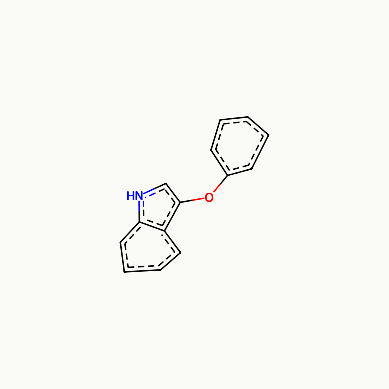 c1ccc(Oc2c[nH]c3ccccc23)cc1